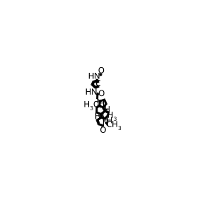 CN1C(=O)C=C[C@]2(C)[C@H]3CC[C@]4(C)[C@@H](CC(=O)Nc5ccc(NC=O)cc5)CC[C@H]4[C@@H]3CC[C@@H]12